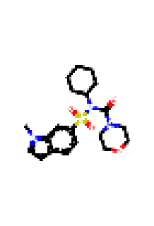 Cn1ccc2ccc(S(=O)(=O)N(C(=O)N3CCOCC3)C3CCCCC3)cc21